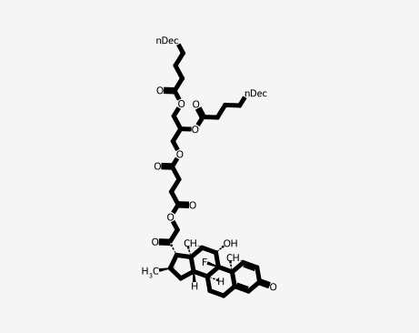 CCCCCCCCCCCCCC(=O)OCC(COC(=O)CCC(=O)OCC(=O)[C@H]1[C@H](C)C[C@H]2[C@@H]3CCC4=CC(=O)C=C[C@]4(C)[C@@]3(F)[C@@H](O)C[C@@]21C)OC(=O)CCCCCCCCCCCCC